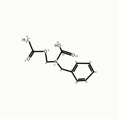 CC(=O)OCN(Cc1ccccc1)C(=O)O